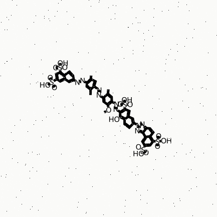 COc1cc(N=Nc2cc(C)c(N=Nc3ccc4c(S(=O)(=O)O)cc(S(=O)(=O)O)cc4c3)cc2C)c(C)cc1N=Nc1c(S(=O)(=O)O)cc2cc(-n3nc4ccc5c(S(=O)(=O)O)cc(S(=O)(=O)O)cc5c4n3)ccc2c1O